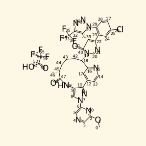 COc1cncc(-n2cc3c(n2)-c2ccnc(c2)[C@@H](n2cnc(-c4cc(Cl)ccc4-n4cc(C(F)(F)F)nn4)cc2=O)CCC[C@@H](C)C(=O)N3)n1.O=C(O)C(F)(F)F